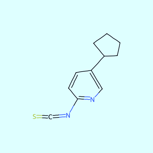 S=C=Nc1ccc(C2CCCC2)cn1